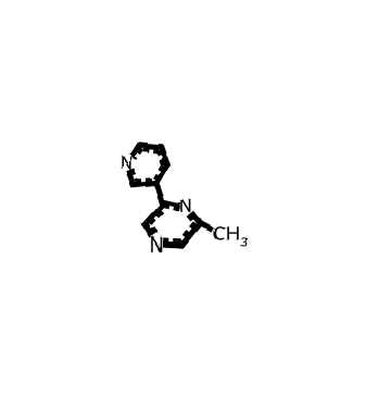 Cc1cncc(-c2cccnc2)n1